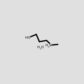 C[SiH2]CCCO.O